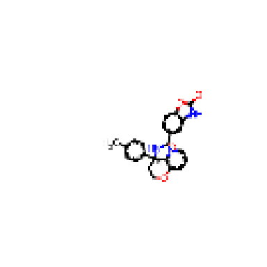 Cc1ccc([C@@]2(NC(=O)c3ccc4oc(=O)[nH]c4c3)CCOc3cccnc32)cc1